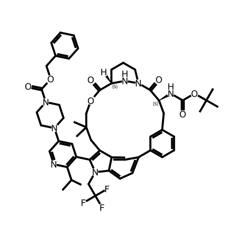 CC(C)c1ncc(N2CCN(C(=O)OCc3ccccc3)CC2)cc1-c1c2c3cc(ccc3n1CC(F)(F)F)-c1cccc(c1)C[C@H](NC(=O)OC(C)(C)C)C(=O)N1CCC[C@H](N1)C(=O)OCC(C)(C)C2